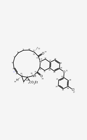 CCOC(=O)[C@@]12C[C@H]1/C=C\CCCCC[C@H](C)C(=O)N1Cc3ccc(Oc4cccc(Cl)c4)cc3CC1C(=O)N2